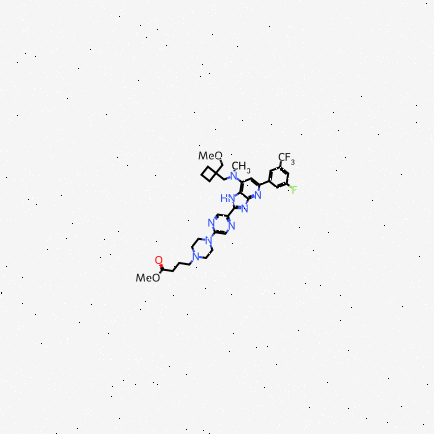 COCC1(CN(C)c2cc(-c3cc(F)cc(C(F)(F)F)c3)nc3nc(-c4cnc(N5CCN(CCCC(=O)OC)CC5)cn4)[nH]c23)CCC1